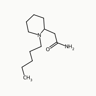 CCCCCN1CCCCC1CC(N)=O